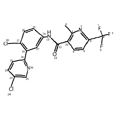 Cc1nc(C(F)(F)F)ccc1C(=O)Nc1ccc(Cl)c(-c2ccc(Cl)cn2)c1